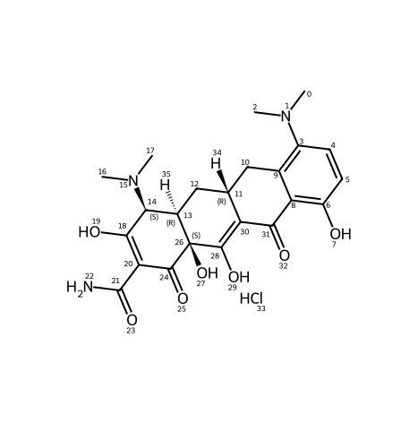 CN(C)c1ccc(O)c2c1C[C@H]1C[C@@H]3[C@H](N(C)C)C(O)=C(C(N)=O)C(=O)[C@@]3(O)C(O)=C1C2=O.Cl